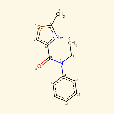 CCN(C(=O)c1csc(C)n1)c1ccccc1